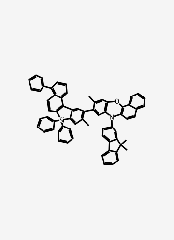 Cc1cc2c(cc1-c1cc3c(cc1C)Oc1c(ccc4ccccc14)N3c1ccc3c(c1)C(C)(C)c1ccccc1-3)-c1c(ccc3c(-c4ccccc4)cccc13)[Si]2(c1ccccc1)c1ccccc1